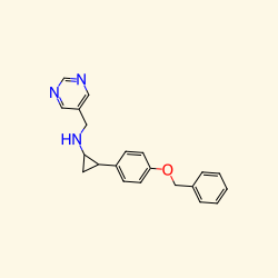 c1ccc(COc2ccc(C3CC3NCc3cncnc3)cc2)cc1